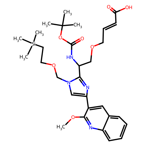 COc1nc2ccccc2cc1-c1cn(COCC[Si](C)(C)C)c(C(COCC=CC(=O)O)NC(=O)OC(C)(C)C)n1